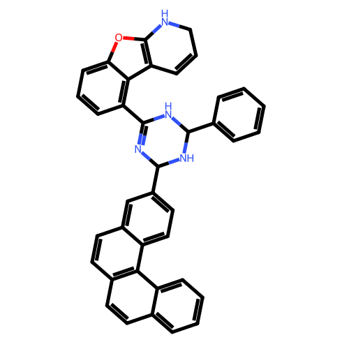 C1=Cc2c(oc3cccc(C4=NC(c5ccc6c(ccc7ccc8ccccc8c76)c5)NC(c5ccccc5)N4)c23)NC1